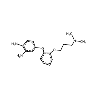 CN(C)CCCOc1ccccc1Sc1ccc(N)c(N)c1